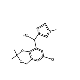 Cn1cnc(C(O)c2cc(Cl)cc3c2OC(C)(C)OC3)c1